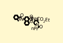 CCCC(=O)N1CC[C@H](NS(=O)(=O)c2ccc(NC(=O)c3ccccc3C)c3ccccc23)[C@@H](C(=O)OCC)C1